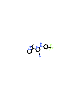 Cc1nn2ccccc2c1-c1cc(C#N)cc(Nc2ccc(C(F)(F)F)cc2)n1